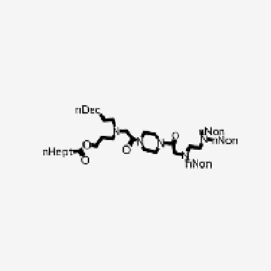 CCCCCCCCCCCCN(CCCOC(=O)CCCCCCC)CC(=O)N1CCN(C(=O)CN(CCCCCCCCC)CCN(CCCCCCCCC)CCCCCCCCC)CC1